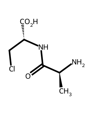 C[C@H](N)C(=O)N[C@H](CCl)C(=O)O